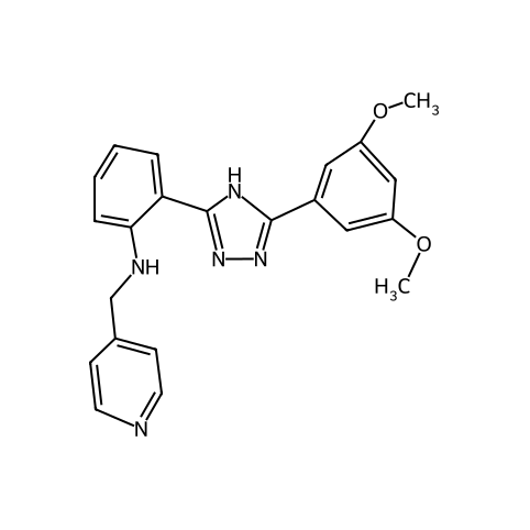 COc1cc(OC)cc(-c2nnc(-c3ccccc3NCc3ccncc3)[nH]2)c1